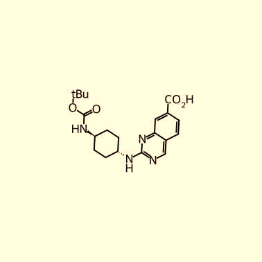 CC(C)(C)OC(=O)N[C@H]1CC[C@H](Nc2ncc3ccc(C(=O)O)cc3n2)CC1